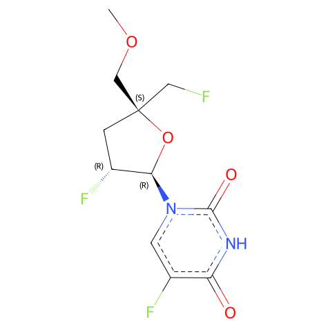 COC[C@]1(CF)C[C@@H](F)[C@H](n2cc(F)c(=O)[nH]c2=O)O1